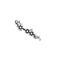 CCCCc1ccc(C#Cc2ccc(-c3ccc(CCC)cc3F)cc2)cc1